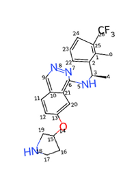 Cc1c([C@@H](C)Nc2nncc3ccc(OC4CCNC4)cc23)cccc1C(F)(F)F